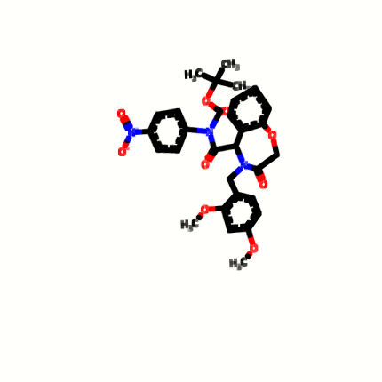 COc1ccc(CN2C(=O)COc3ccccc3C2C(=O)N(C(=O)OC(C)(C)C)c2ccc([N+](=O)[O-])cc2)c(OC)c1